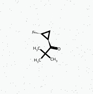 CC(C)(C)C(=O)[C@@H]1C[C@H]1F